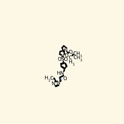 C=Cc1nccn1/C=C/C(=O)NCc1ccc(S(=O)(=O)N2CCC3(CCCN3C(=O)OC(C)(C)C)C2)cc1